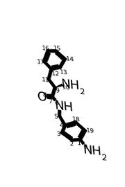 Nc1ccc(CNC(=O)[C@H](N)Cc2ccccc2)cc1